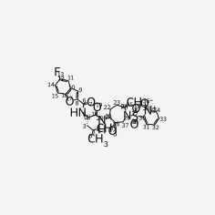 CC(C)C[C@H](NC(=O)c1cc2cc(F)ccc2o1)C(=O)N[C@H]1CC[C@@H](C)N(S(=O)(=O)c2cccc[n+]2[O-])CC1=O